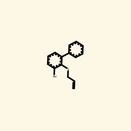 C=CCSc1c(C(C)=O)cccc1-c1ccccc1